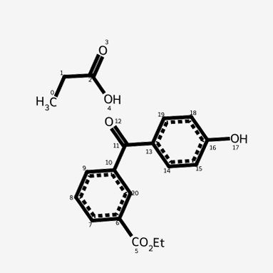 CCC(=O)O.CCOC(=O)c1cccc(C(=O)c2ccc(O)cc2)c1